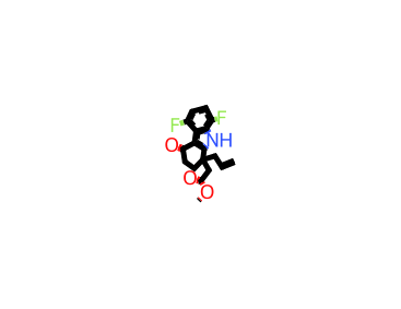 C=CCC1(CC(=O)OC)CCC(=O)c2c1[nH]c1c(F)ccc(F)c21